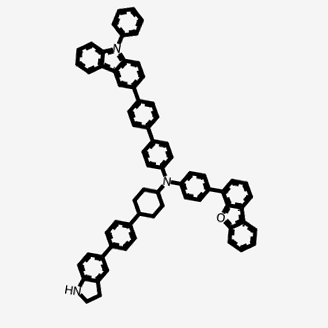 c1ccc(-n2c3ccccc3c3cc(-c4ccc(-c5ccc(N(c6ccc(-c7cccc8c7oc7ccccc78)cc6)C6CCC(c7ccc(-c8ccc9c(c8)CCN9)cc7)CC6)cc5)cc4)ccc32)cc1